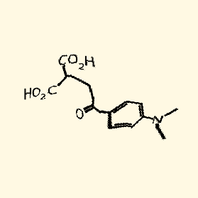 CN(C)c1ccc(C(=O)CC(C(=O)O)C(=O)O)cc1